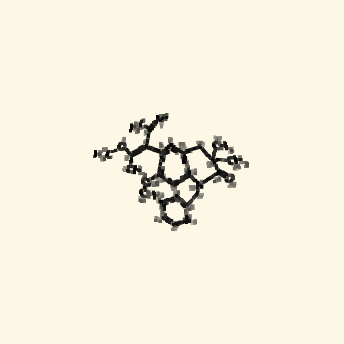 CO/C(C)=C(\C(C)=N)c1cc2c(cc1OC)N(Cc1ccccn1)C(=O)C(C)(C)C2